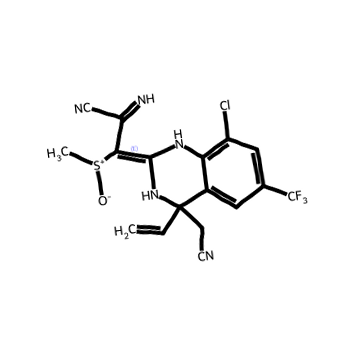 C=CC1(CC#N)N/C(=C(/C(=N)C#N)[S+](C)[O-])Nc2c(Cl)cc(C(F)(F)F)cc21